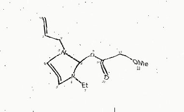 C=CCN1C=CN(CC)C1OC(=O)COC